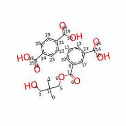 CC(C)(CO)COC(=O)c1cccc(C(=O)O)c1.O=C(O)c1ccc(C(=O)O)cc1